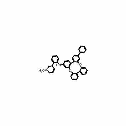 CN1CC=CC(c2ccccc2Nc2ccc3c(c2)Oc2ccccc2-c2ccccc2Oc2cc(-c4ccccc4)ccc2-3)C1